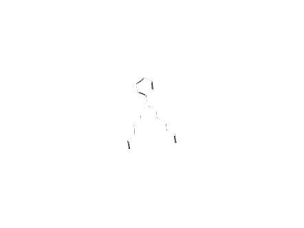 C=CCCCON(OCCCC=C)c1ccccc1